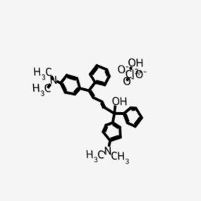 CN(C)c1ccc(C(=CC=CC(O)(c2ccccc2)c2ccc(N(C)C)cc2)c2ccccc2)cc1.[O-][Cl+3]([O-])([O-])O